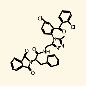 Cc1nnc(CNC(=O)C(Cc2ccccc2)N2C(=O)c3ccccc3C2=O)n1-c1ccc(Cl)cc1C(=O)c1ccccc1Cl